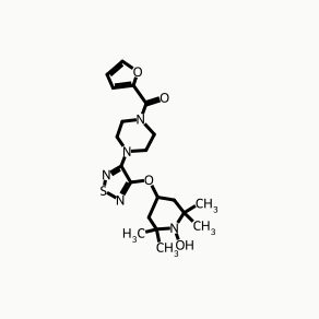 CC1(C)CC(Oc2nsnc2N2CCN(C(=O)c3ccco3)CC2)CC(C)(C)N1O